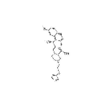 COc1ccc2ncc(F)c(C(N)CCC3CCN(CCSc4ccsc4)CC3C(=O)O)c2c1